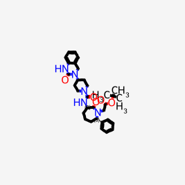 CC(C)(C)OC(=O)CN1C(=O)[C@H](NC(=O)N2CCC(N3Cc4ccccc4NC3=O)CC2)CCC[C@H]1c1ccccc1